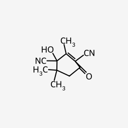 CC1=C(C#N)C(=O)CC(C)(C)C1(O)C#N